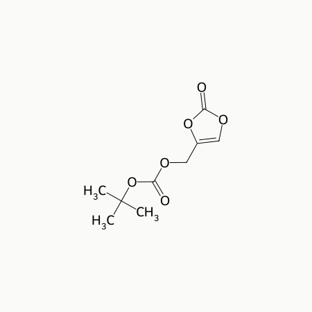 CC(C)(C)OC(=O)OCc1coc(=O)o1